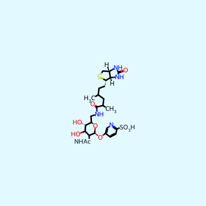 CC(=O)NC1C(O)[C@H](O)C(CNC(=O)C(C)CC(C)CC[C@@H]2SC[C@@H]3NC(=O)N[C@@H]32)O[C@H]1Oc1ccc(S(=O)(=O)O)nc1